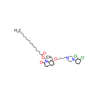 CCCCCCCCCCCCCCC(=O)OC(C)n1c(=O)ccc2ccc(OCCCCN3CCN(c4cccc(Cl)c4Cl)CC3)cc21